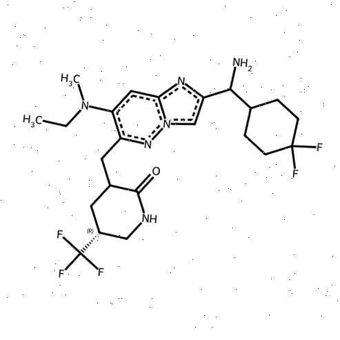 CCN(C)c1cc2nc(C(N)C3CCC(F)(F)CC3)cn2nc1CC1C[C@@H](C(F)(F)F)CNC1=O